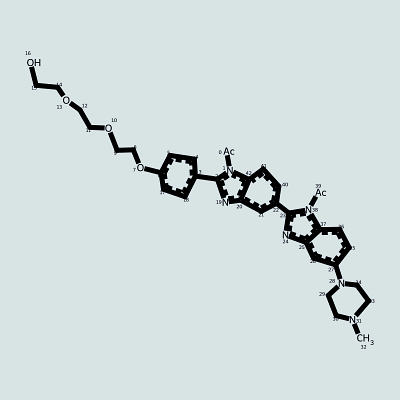 CC(=O)n1c(-c2ccc(OCCOCCOCCO)cc2)nc2cc(-c3nc4cc(N5CCN(C)CC5)ccc4n3C(C)=O)ccc21